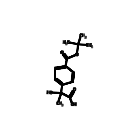 CC(C)(C)OC(=O)c1ccc(C(C)(O)C(=O)O)cc1